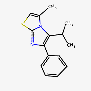 Cc1csc2nc(-c3ccccc3)c(C(C)C)n12